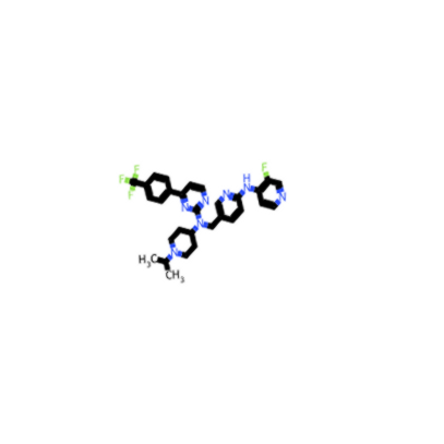 CC(C)N1CCC(N(Cc2ccc(Nc3ccncc3F)nc2)c2nccc(-c3ccc(C(F)(F)F)cc3)n2)CC1